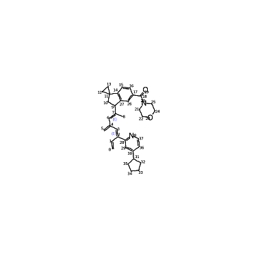 C=C/C(=C\C(=C)/C=C(\C)C1CC2(CC2)c2ccc(C(=O)N3CCOCC3)cc21)c1cc(C2CCCC2)ccn1